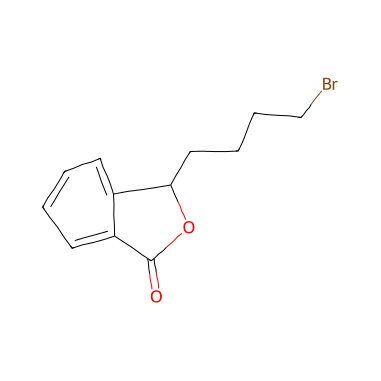 O=C1OC(CCCCBr)c2ccccc21